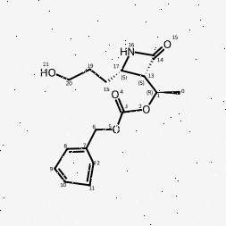 C[C@@H](OC(=O)OCc1ccccc1)[C@H]1C(=O)N[C@H]1CCCO